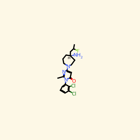 Cc1nc(N2CCC[C@](N)(CC(C)F)CC2)cc(=O)n1-c1cccc(Cl)c1Cl